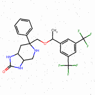 CC(OCC1(c2ccccc2)CC2NC(=O)NC2CN1)c1cc(C(F)(F)F)cc(C(F)(F)F)c1